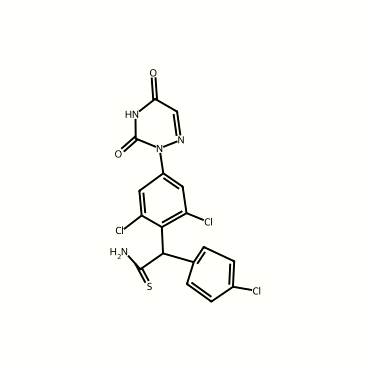 NC(=S)C(c1ccc(Cl)cc1)c1c(Cl)cc(-n2ncc(=O)[nH]c2=O)cc1Cl